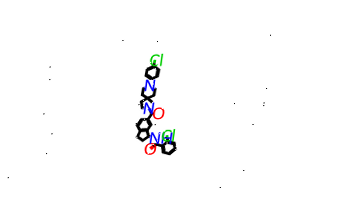 O=C(NC1CCc2ccc(C(=O)N3CCC4(CCN(c5ccc(Cl)cc5)CC4)C3)cc21)c1ccccc1Cl